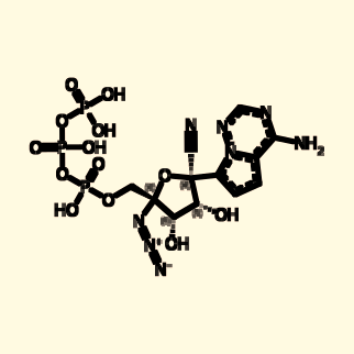 N#C[C@@]1(c2ccc3c(N)ncnn23)O[C@@](COP(=O)(O)OP(=O)(O)OP(=O)(O)O)(N=[N+]=[N-])[C@@H](O)[C@H]1O